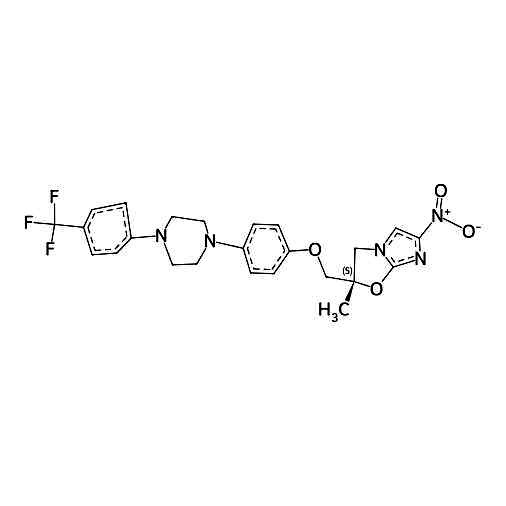 C[C@@]1(COc2ccc(N3CCN(c4ccc(C(F)(F)F)cc4)CC3)cc2)Cn2cc([N+](=O)[O-])nc2O1